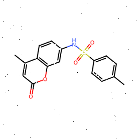 Cc1ccc(S(=O)(=O)Nc2ccc3c(C)cc(=O)oc3c2)cc1